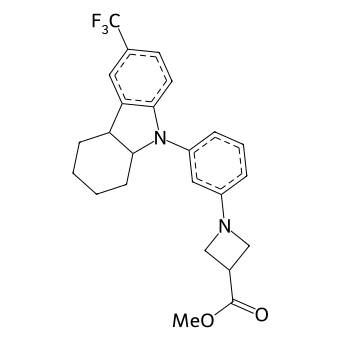 COC(=O)C1CN(c2cccc(N3c4ccc(C(F)(F)F)cc4C4CCCCC43)c2)C1